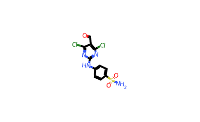 NS(=O)(=O)c1ccc(Nc2nc(Cl)c(C=O)c(Cl)n2)cc1